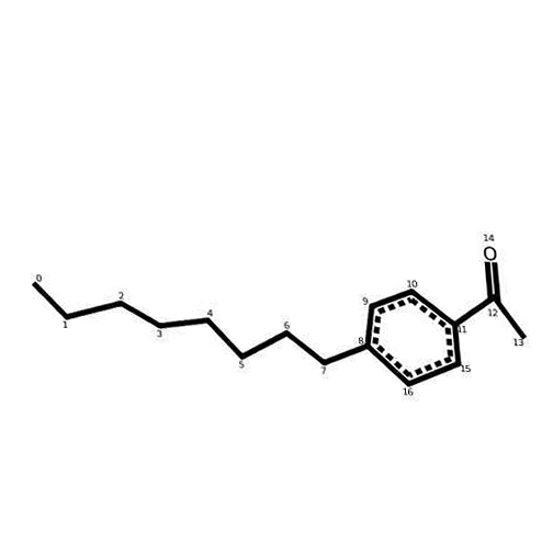 CCCCCCCCc1ccc(C(C)=O)cc1